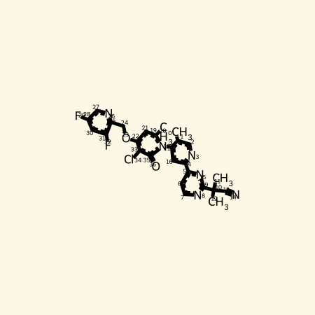 Cc1cnc(-c2ccnc(C(C)(C)C#N)n2)cc1-n1c(C)cc(OCc2ncc(F)cc2F)c(Cl)c1=O